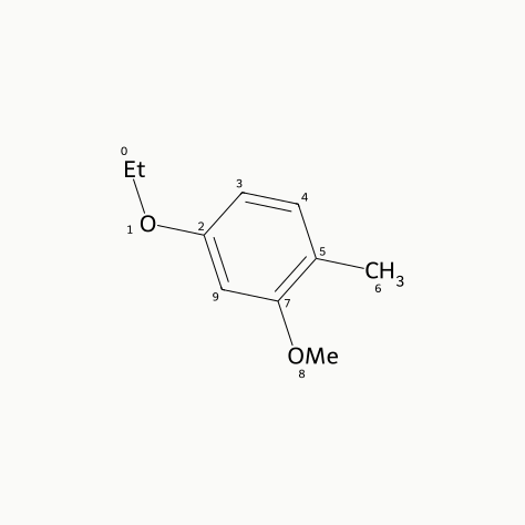 CCOc1ccc(C)c(OC)c1